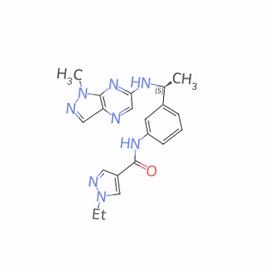 CCn1cc(C(=O)Nc2cccc([C@H](C)Nc3cnc4cnn(C)c4n3)c2)cn1